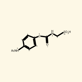 CC(=O)Nc1ccc(OC(=O)NCS(=O)(=O)O)cc1